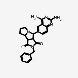 Nc1nc(N)c2cc(C3C4C(=O)N(Cc5ccccc5)C(=O)C4C4CCCN43)ccc2n1